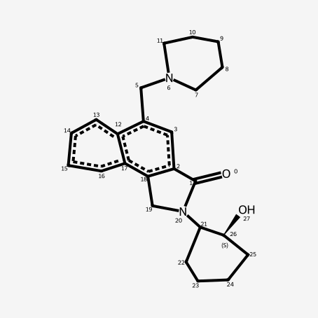 O=C1c2cc(CN3CCCCC3)c3ccccc3c2CN1C1CCCC[C@@H]1O